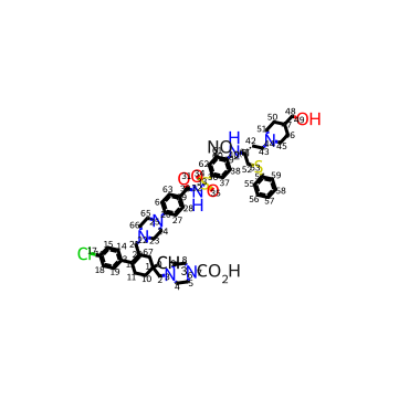 CC1(CN2CCN(C(=O)O)CC2)CCC(c2ccc(Cl)cc2)=C(CN2CCN(c3ccc(C(=O)NS(=O)(=O)c4ccc(N[C@H](CCN5CCC(CO)CC5)CSc5ccccc5)c([N+](=O)[O-])c4)cc3)CC2)C1